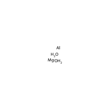 O.O.[Al].[Mg]